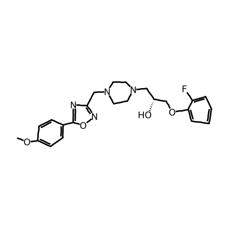 COc1ccc(-c2nc(CN3CCN(C[C@@H](O)COc4ccccc4F)CC3)no2)cc1